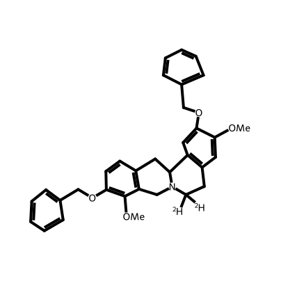 [2H]C1([2H])Cc2cc(OC)c(OCc3ccccc3)cc2C2Cc3ccc(OCc4ccccc4)c(OC)c3CN21